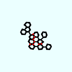 c1ccc(-c2ccc(-c3ccccc3N(c3ccc(-c4cc5ccccc5c5ccccc45)cc3)c3cccc(-c4ccccc4)c3-c3ccccc3-c3ccccc3)cc2)cc1